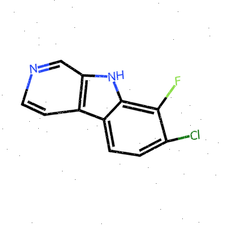 Fc1c(Cl)ccc2c1[nH]c1cnccc12